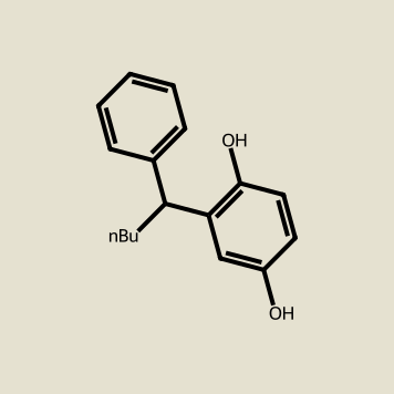 CCCCC(c1ccccc1)c1cc(O)ccc1O